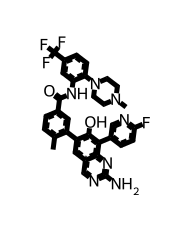 Cc1ccc(C(=O)Nc2cc(C(F)(F)F)ccc2N2CCN(C)CC2)cc1-c1cc2cnc(N)nc2c(-c2ccc(F)nc2)c1O